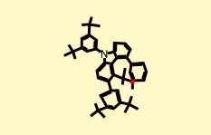 CCC(C)(C)c1c(-c2cc(C(C)(C)C)cc(C(C)(C)C)c2)ccc2c1c1c(-c3ccccc3)cccc1n2-c1cc(C(C)(C)C)cc(C(C)(C)C)c1